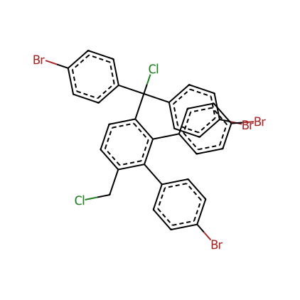 ClCc1ccc(C(Cl)(c2ccc(Br)cc2)c2ccc(Br)cc2)c(-c2ccc(Br)cc2)c1-c1ccc(Br)cc1